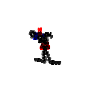 CCCCCCCCCCCCCCCCCCC1(CCCCCCCCCCCCCCCCCC)C(=O)OC(c2ccc(N(C)Cc3cc(C)cc(-n4nc5ccccc5n4)c3O)cc2)OC1=O